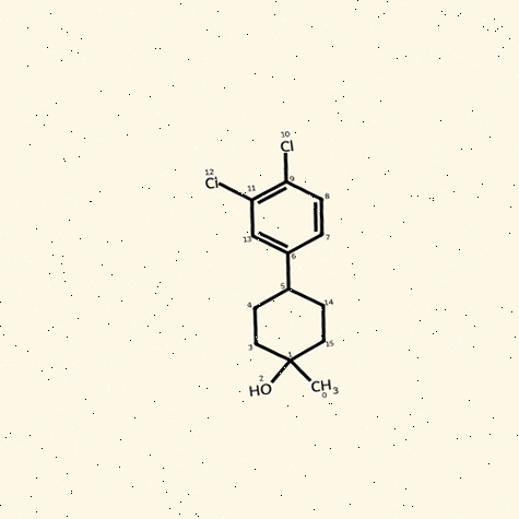 CC1(O)CCC(c2ccc(Cl)c(Cl)c2)CC1